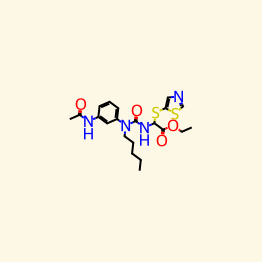 CCCCCN(C(=O)NC(Sc1cncs1)C(=O)OCC)c1cccc(NC(C)=O)c1